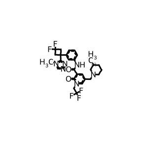 C[C@H]1CCCN(Cc2cc(C(=O)Nc3cccc(C4(c5nncn5C)CC(F)(F)C4)c3)c(=O)n(CC(F)(F)F)c2)C1